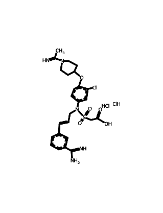 CC(=N)N1CCC(Oc2ccc(N(C/C=C/c3cccc(C(=N)N)c3)S(=O)(=O)CC(=O)O)cc2Cl)CC1.Cl.Cl